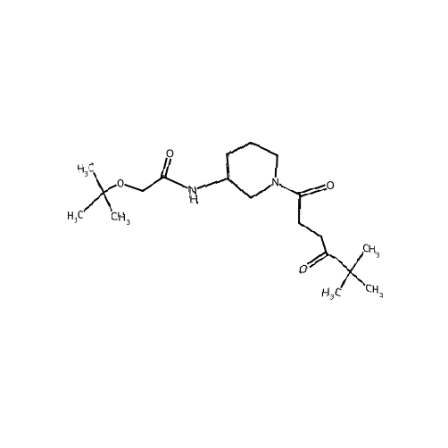 CC(C)(C)OCC(=O)NC1CCCN(C(=O)CCC(=O)C(C)(C)C)C1